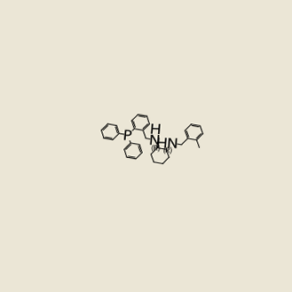 Cc1ccccc1CN[C@@H]1CCCC[C@H]1NCc1ccccc1P(c1ccccc1)c1ccccc1